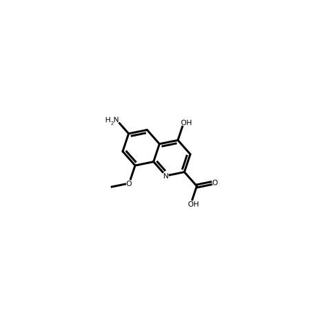 COc1cc(N)cc2c(O)cc(C(=O)O)nc12